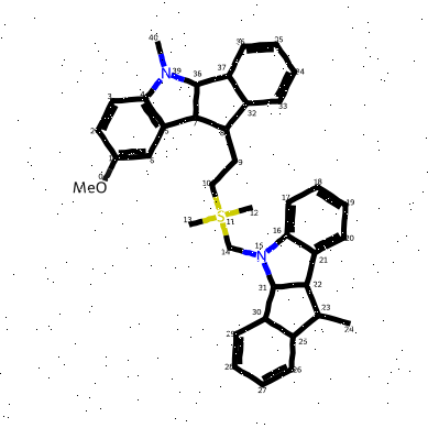 COc1ccc2c(c1)C1C(CCS(C)(C)CN3c4ccccc4C4C(C)C5C=CC=CC5C43)C3C=CC=CC3C1N2C